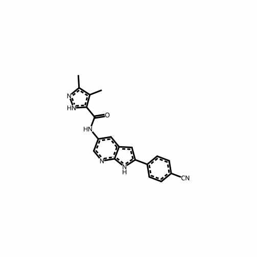 Cc1n[nH]c(C(=O)Nc2cnc3[nH]c(-c4ccc(C#N)cc4)cc3c2)c1C